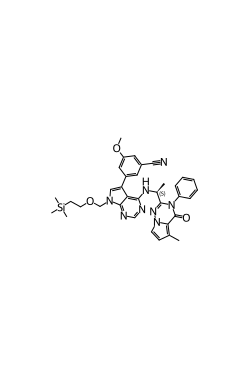 COc1cc(C#N)cc(-c2cn(COCC[Si](C)(C)C)c3ncnc(N[C@@H](C)c4nn5ccc(C)c5c(=O)n4-c4ccccc4)c23)c1